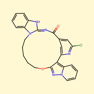 O=C1N=C2Nc3ccccc3N2CCCCCOc2nn3ccccc3c2-c2cc1cc(Cl)n2